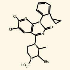 CC1C(C(C)(C)C)N(C(=O)O)CCN1c1nc(=O)n(-c2ccccc2C2CC2)c2nc(Cl)c(Cl)cc12